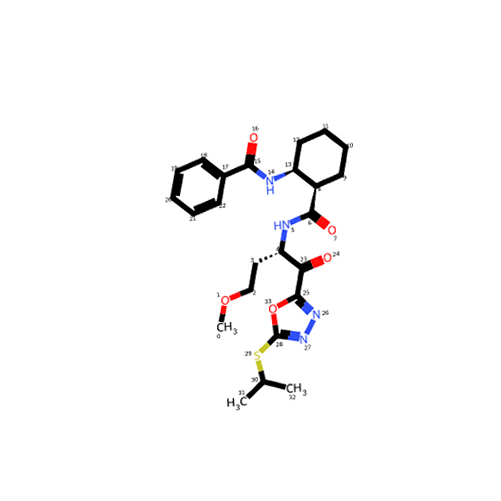 COCC[C@H](NC(=O)[C@@H]1CCCC[C@@H]1NC(=O)c1ccccc1)C(=O)c1nnc(SC(C)C)o1